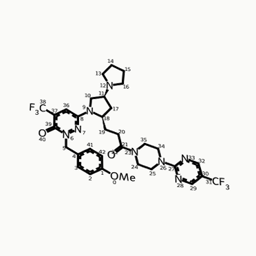 COc1ccc(Cn2nc(N3C[C@@H](N4CCCC4)C[C@H]3CCC(=O)N3CCN(c4ncc(C(F)(F)F)cn4)CC3)cc(C(F)(F)F)c2=O)cc1